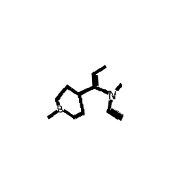 C=CN(C)/C(=C\C)C1CCB(C)CC1